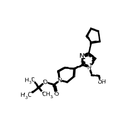 CC(C)(C)OC(=O)N1CCC(c2nc(C3CCCC3)cn2CCO)CC1